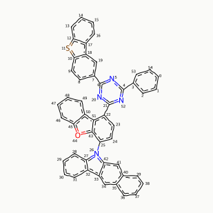 c1ccc(-c2nc(-c3ccc4sc5ccccc5c4c3)nc(-c3ccc(-n4c5ccccc5c5cc6ccccc6cc54)c4oc5ccccc5c34)n2)cc1